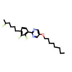 CCCCCCCCOc1cnc(-c2ccc(CCCCC(C)F)c(F)c2F)nc1